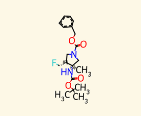 CC(C)(C)OC(=O)N[C@]1(C)CN(C(=O)OCc2ccccc2)C[C@H]1CF